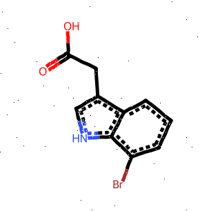 O=C(O)Cc1c[nH]c2c(Br)cccc12